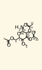 CO[C@@H]1C(COC(C)=O)O[C@@H](N)C(OC(C)=O)[C@H]1OC(C)=O